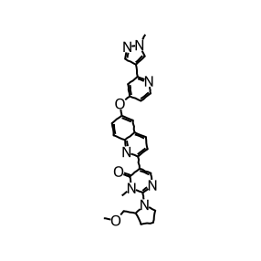 COCC1CCCN1c1ncc(-c2ccc3cc(Oc4ccnc(-c5cnn(C)c5)c4)ccc3n2)c(=O)n1C